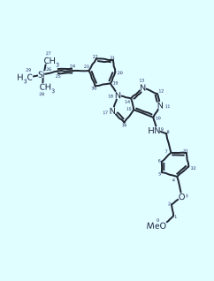 COCCOc1ccc(CNc2ncnc3c2cnn3-c2cccc(C#C[Si](C)(C)C)c2)cc1